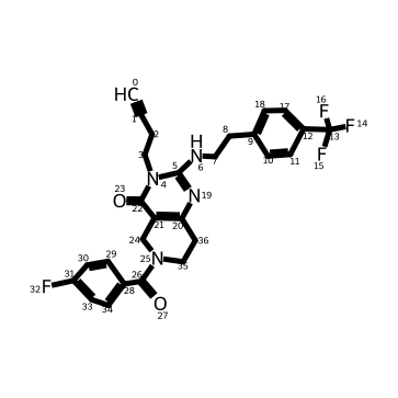 C#CCCn1c(NCCc2ccc(C(F)(F)F)cc2)nc2c(c1=O)CN(C(=O)c1ccc(F)cc1)CC2